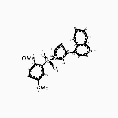 COc1ccc(OC)c(S(=O)(=O)n2ccc(-c3ccnc4ccccc34)n2)c1